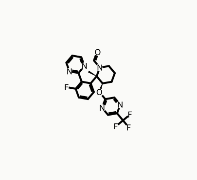 C[C@]1(c2cccc(F)c2-c2ncccn2)[C@H](Oc2cnc(C(F)(F)F)cn2)CCCN1C=O